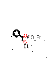 CCOCC(OC(=O)OCC)c1ccccc1